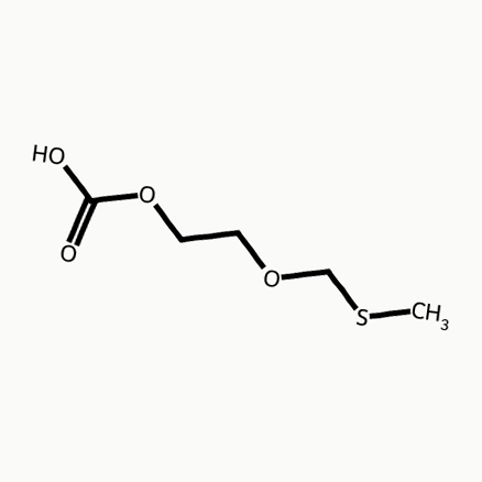 CSCOCCOC(=O)O